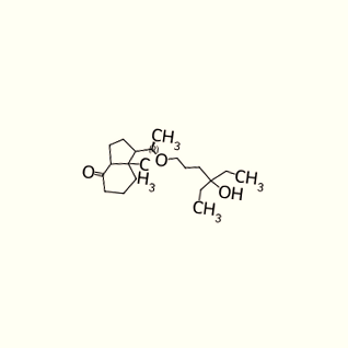 CCC(O)(CC)CCCO[C@H](C)C1CCC2C(=O)CCCC21C